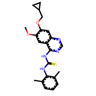 COc1cc2c(NC(=S)Nc3c(C)cccc3C)ncnc2cc1OCC1CC1